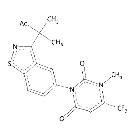 CC(=O)C(C)(C)c1nsc2ccc(-n3c(=O)cc(C(F)(F)F)n(C)c3=O)cc12